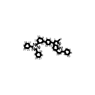 Cc1cc(-c2ccc(-c3cccc(-c4nc(-c5ccccc5)nc(-c5ccccc5)n4)c3)cc2)c2ccc3ccc(-c4ccccc4)nc3c2n1